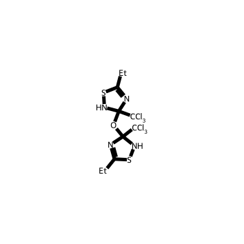 CCC1=NC(OC2(C(Cl)(Cl)Cl)N=C(CC)SN2)(C(Cl)(Cl)Cl)NS1